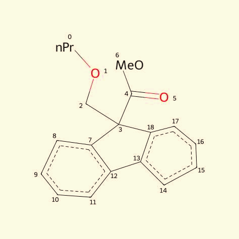 CCCOCC1(C(=O)OC)c2ccccc2-c2ccccc21